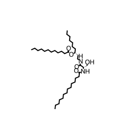 CCCCCCCCCCCCCC(=O)N[C@@H](CO)C(=O)NCC[C@@H](CCCCCCC)OC(=O)CCCCCCCCCCC